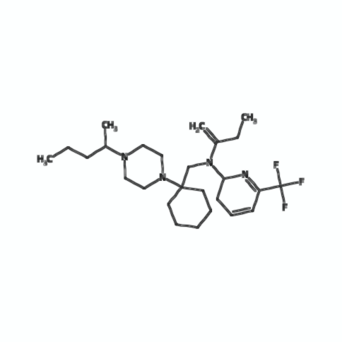 C=C(CC)N(CC1(N2CCN(C(C)CCC)CC2)CCCCC1)C1CC=CC(C(F)(F)F)=N1